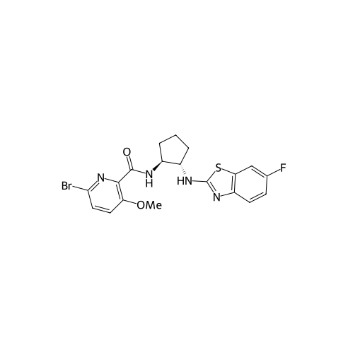 COc1ccc(Br)nc1C(=O)N[C@H]1CCC[C@@H]1Nc1nc2ccc(F)cc2s1